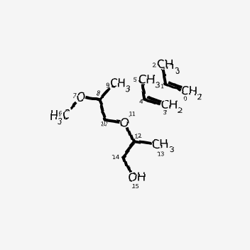 C=CC.C=CC.COC(C)COC(C)CO